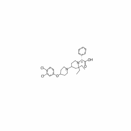 CCC1(CC)CC(N2CCC(Oc3ccc(Cl)c(Cl)c3)CC2)CCN1[C@@H](C(=O)O)c1ccccc1